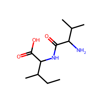 CCC(C)C(NC(=O)C(N)C(C)C)C(=O)O